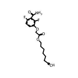 C#CCCCCCCOC(=O)COc1ccc(F)c(C(N)=O)c1F